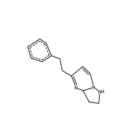 C1=CN2NCCC2N=C1CCc1ccccc1